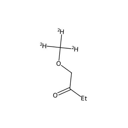 [2H]C([2H])([2H])OCC(=O)CC